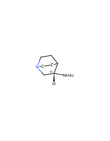 CC(=O)N[C@@H]1CN2CCC1CC2